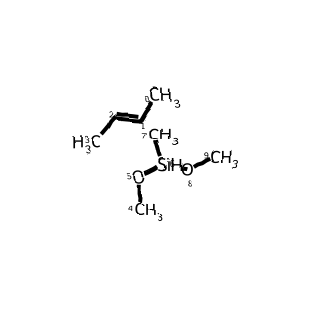 CC=CC.CO[SiH](C)OC